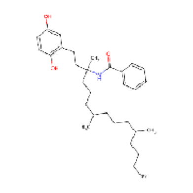 CC(C)CCCC(C)CCCC(C)CCCC(C)(CCc1cc(O)ccc1O)NC(=O)c1ccccc1